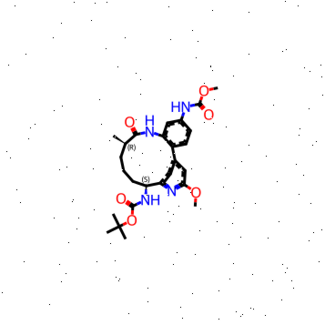 COC(=O)Nc1ccc2c(c1)NC(=O)[C@H](C)CCC[C@H](NC(=O)OC(C)(C)C)c1cc-2cc(OC)n1